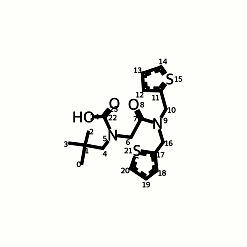 CC(C)(C)CN(CC(=O)N(Cc1cccs1)Cc1cccs1)C(=O)O